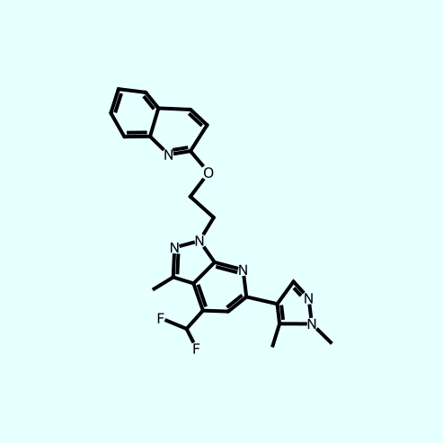 Cc1nn(CCOc2ccc3ccccc3n2)c2nc(-c3cnn(C)c3C)cc(C(F)F)c12